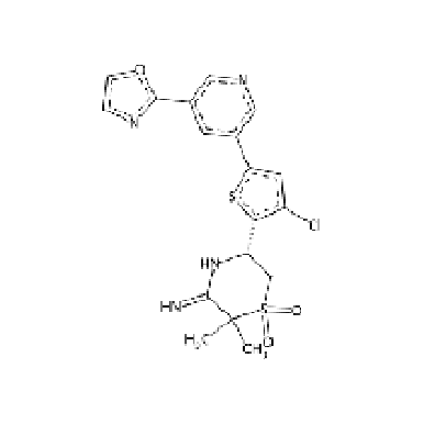 CC1(C)C(=N)N[C@H](c2sc(-c3cncc(-c4ncco4)c3)cc2Cl)CS1(=O)=O